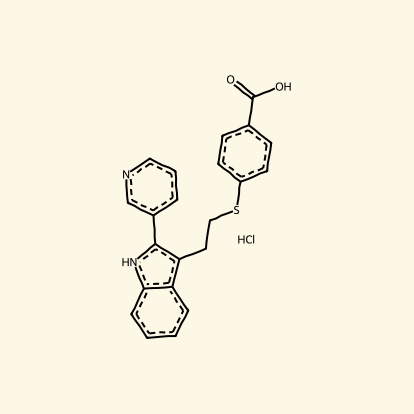 Cl.O=C(O)c1ccc(SCCc2c(-c3cccnc3)[nH]c3ccccc23)cc1